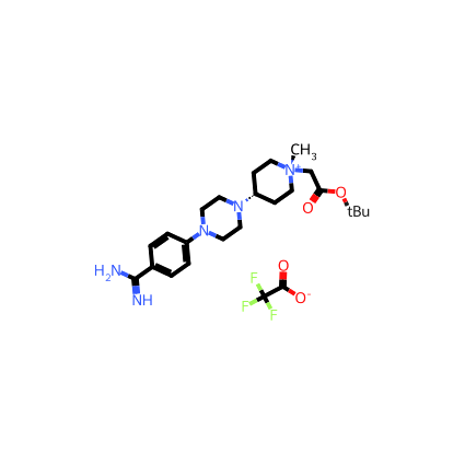 CC(C)(C)OC(=O)C[N@+]1(C)CC[C@H](N2CCN(c3ccc(C(=N)N)cc3)CC2)CC1.O=C([O-])C(F)(F)F